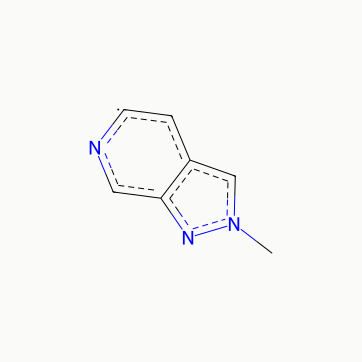 Cn1cc2c[c]ncc2n1